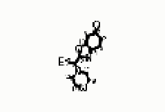 CCC(C1N=C2C=CC(=O)C=C2O1)N1CCOCC1